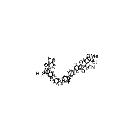 CCOc1cc([C@@H](CC#N)N2C(=O)c3ccc(N4CCN([C@H]5CCN(Cc6ccc(Oc7ccc8c(N9CCC(=O)NC9=O)nn(C)c8c7)cc6)CC5(F)F)CC4)cc3C2=O)ccc1OC